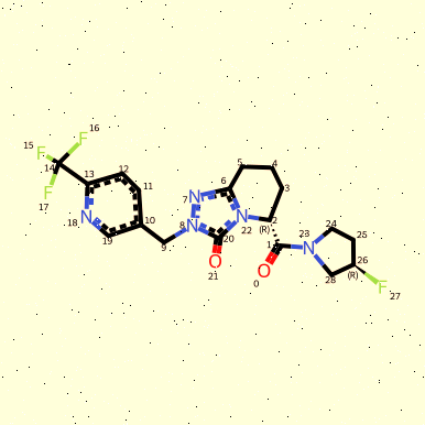 O=C([C@H]1CCCc2nn(Cc3ccc(C(F)(F)F)nc3)c(=O)n21)N1CC[C@@H](F)C1